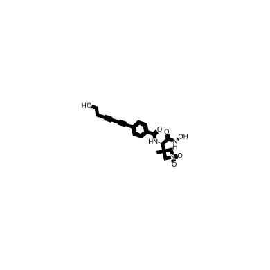 CC1([C@H](NC(=O)c2ccc(C#CC#CCCO)cc2)C(=O)NO)CS(=O)(=O)C1